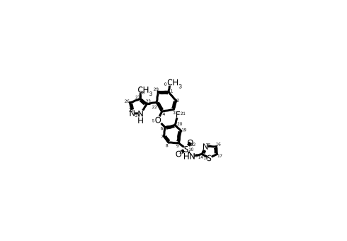 Cc1ccc(Oc2ccc(S(=O)(=O)Nc3nccs3)cc2F)c(-c2[nH]ncc2C)c1